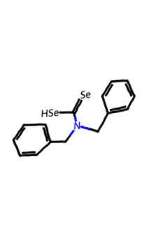 [Se]=C([SeH])N(Cc1ccccc1)Cc1ccccc1